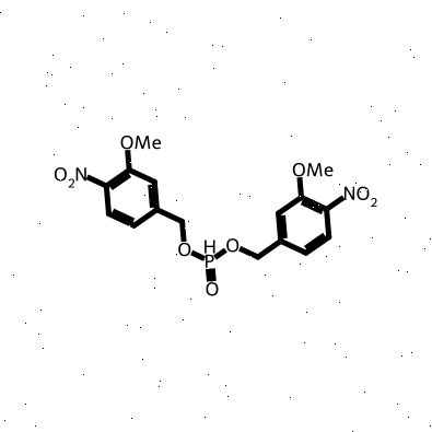 COc1cc(CO[PH](=O)OCc2ccc([N+](=O)[O-])c(OC)c2)ccc1[N+](=O)[O-]